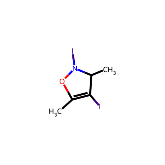 CC1=C(I)C(C)N(I)O1